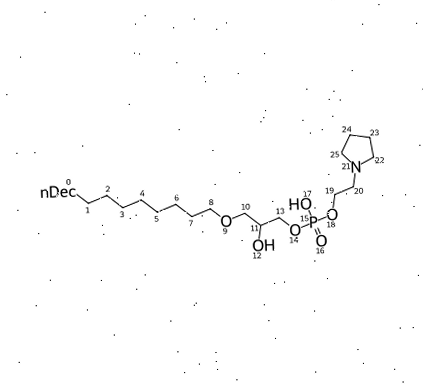 CCCCCCCCCCCCCCCCCCOCC(O)COP(=O)(O)OCCN1CCCC1